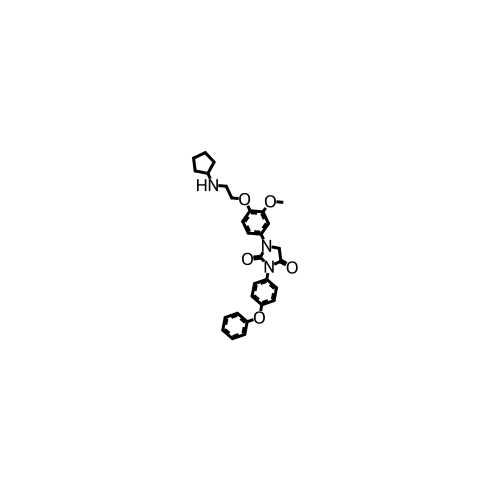 COc1cc(N2CC(=O)N(c3ccc(Oc4ccccc4)cc3)C2=O)ccc1OCCNC1CCCC1